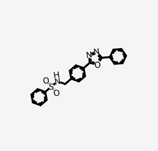 O=S(=O)(NCc1ccc(-c2nnc(-c3ccccc3)o2)cc1)c1ccccc1